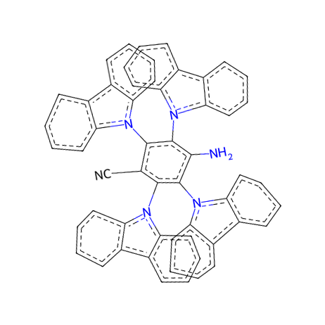 N#Cc1c(-n2c3ccccc3c3ccccc32)c(-n2c3ccccc3c3ccccc32)c(N)c(-n2c3ccccc3c3ccccc32)c1-n1c2ccccc2c2ccccc21